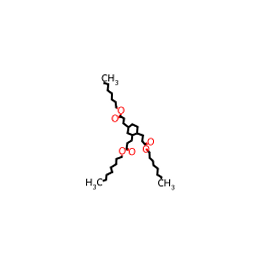 CCCCCCCCOC(=O)CCC1CCC(CCC(=O)OCCCCCCCC)C(CCC(=O)OCCCCCCCC)C1